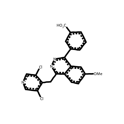 COc1ccc2c(Cc3c(Cl)cncc3Cl)nnc(-c3cccc(C(=O)O)c3)c2c1